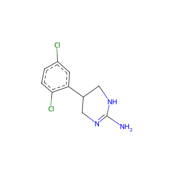 NC1=NCC(c2cc(Cl)ccc2Cl)CN1